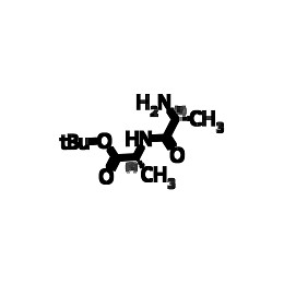 C[C@@H](N)C(=O)N[C@H](C)C(=O)OC(C)(C)C